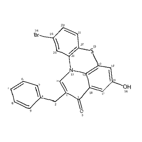 O=c1c(Cc2ccccc2)cn2c3c(cc(O)cc13)Sc1ccc(Br)cc1-2